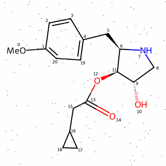 COc1ccc(C[C@H]2NC[C@H](O)[C@H]2OC(=O)CC2CC2)cc1